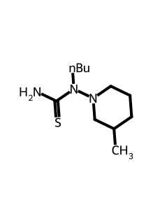 CCCCN(C(N)=S)N1CCCC(C)C1